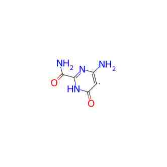 NC(=O)c1nc(N)[c]c(=O)[nH]1